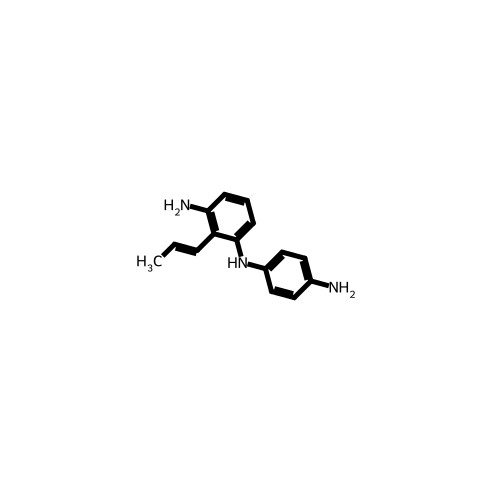 CC=Cc1c(N)cccc1Nc1ccc(N)cc1